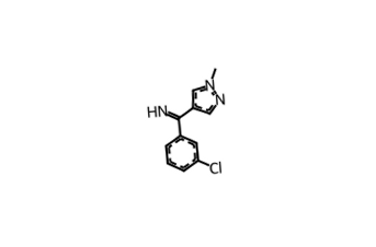 Cn1cc(C(=N)c2cccc(Cl)c2)cn1